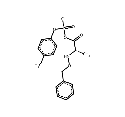 Cc1ccc(OP(=O)(Cl)OC(=O)[C@H](C)NOCc2ccccc2)cc1